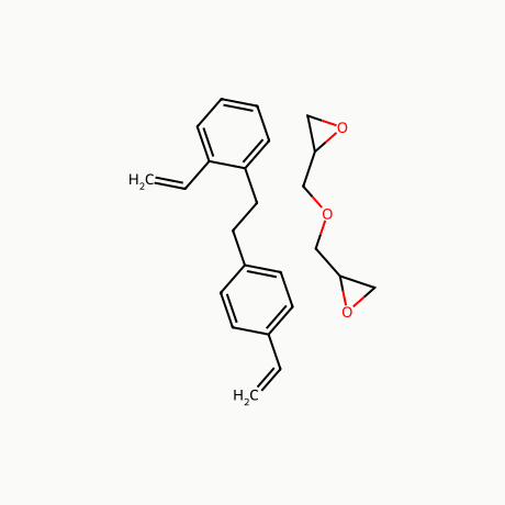 C(OCC1CO1)C1CO1.C=Cc1ccc(CCc2ccccc2C=C)cc1